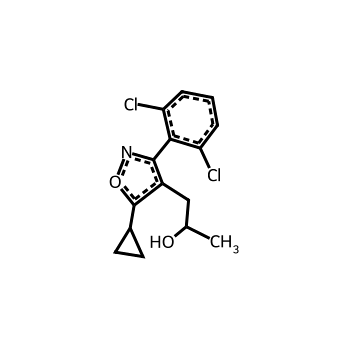 CC(O)Cc1c(-c2c(Cl)cccc2Cl)noc1C1CC1